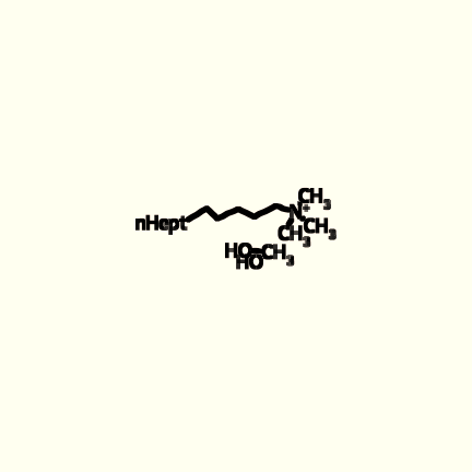 CCCCCCCCCCCC[N+](C)(C)C.CO.[OH-]